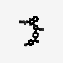 CCOC(=O)c1nc(N2CC(O)C(N3CCN(C(=O)c4ccc(Cl)cc4)CC3)C2)c2ccccc2n1